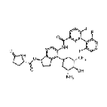 C[C@H]1CN(c2c(NC(=O)c3ccc(F)c(-c4c(F)cccc4F)n3)cnc3c2CC[C@H]3OC(=O)[C@@H]2CCC(=O)N2)C[C@@H](N)[C@@H]1O